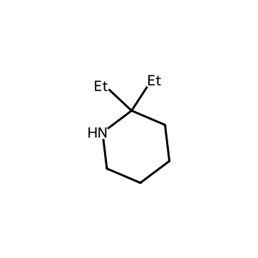 CCC1(CC)CCCCN1